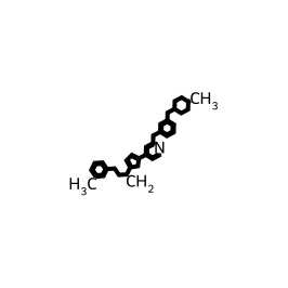 C=C(CCc1cccc(C)c1)C1=CC=C(c2ccnc(Cc3cccc(CC4CCC(C)CC4)c3)c2)C1